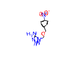 Nc1nnnn1COCc1ccc([N+](=O)[O-])cc1